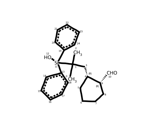 CC(C)(C[C@H]1CCCC[C@H]1C=O)[Si](O)(c1ccccc1)c1ccccc1